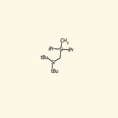 CC(C)[Si](C)(C[Si](C(C)(C)C)C(C)(C)C)C(C)C